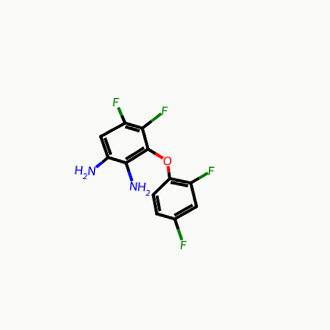 Nc1cc(F)c(F)c(Oc2ccc(F)cc2F)c1N